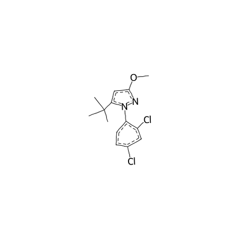 COc1cc(C(C)(C)C)n(-c2ccc(Cl)cc2Cl)n1